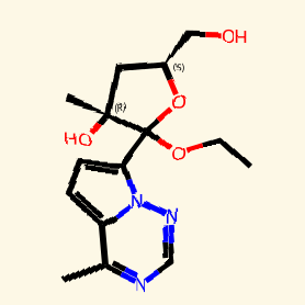 CCOC1(c2ccc3c(C)ncnn23)O[C@H](CO)C[C@@]1(C)O